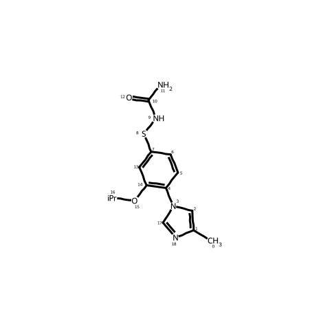 Cc1cn(-c2ccc(SNC(N)=O)cc2OC(C)C)cn1